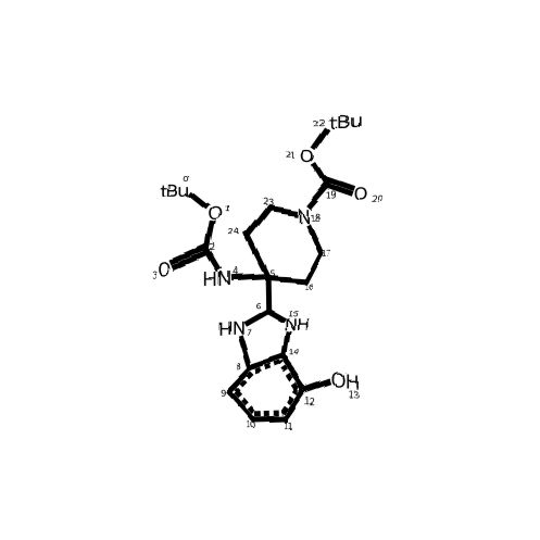 CC(C)(C)OC(=O)NC1(C2Nc3cccc(O)c3N2)CCN(C(=O)OC(C)(C)C)CC1